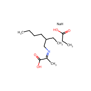 CCC(=O)O.CCCCC(CC)CN=C(C)C(=O)O.[NaH]